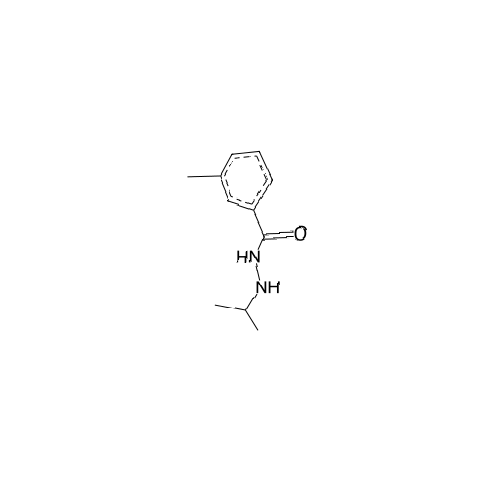 Cc1cccc(C(=O)NNC(C)C)c1